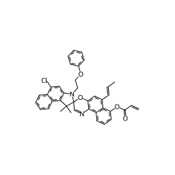 C=CC(=O)Oc1cccc2c3c(cc(/C=C/C)c12)OC1(C=N3)N(CCOc2ccccc2)c2cc(Cl)c3ccccc3c2C1(C)C